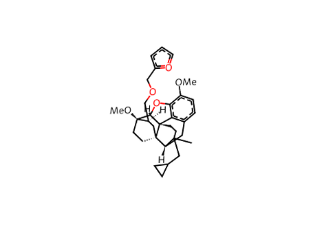 COc1ccc2c3c1O[C@H]1[C@@]4(OC)CC[C@@]5(C[C@@H]4COCc4ccco4)[C@@H](C2)C(C)(CC2CC2)CC[C@]315